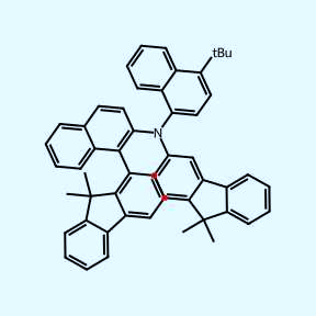 CC(C)(C)c1ccc(N(c2ccc3c(c2)-c2ccccc2C3(C)C)c2ccc3ccccc3c2-c2cccc3c2C(C)(C)c2ccccc2-3)c2ccccc12